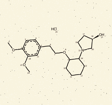 COc1ccc(CCOC2CCCCC2N2CC[C@@H](O)C2)cc1OC.Cl